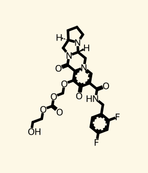 O=C(OCCO)OCOc1c2n(cc(C(=O)NCc3ccc(F)cc3F)c1=O)C[C@@H]1N(C[C@H]3CCCN31)C2=O